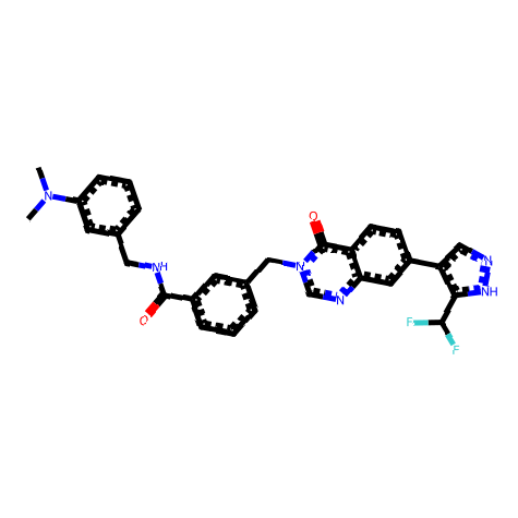 CN(C)c1cccc(CNC(=O)c2cccc(Cn3cnc4cc(-c5cn[nH]c5C(F)F)ccc4c3=O)c2)c1